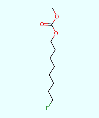 COC(=O)OCCCCCCCCF